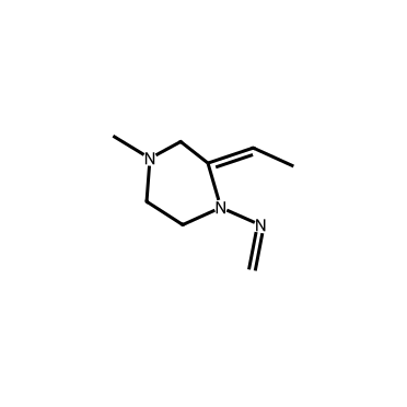 C=NN1CCN(C)C/C1=C/C